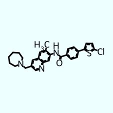 Cc1cc2cc(CN3CCCCCC3)cnc2cc1NC(=O)c1ccc(-c2ccc(Cl)s2)cc1